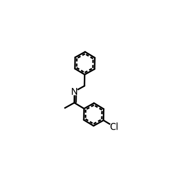 CC(=NCc1ccccc1)c1ccc(Cl)cc1